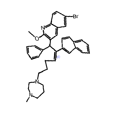 COc1nc2ccc(Br)cc2cc1C(/C(=C\CCCN1CCCN(C)CC1)c1ccc2ccccc2c1)c1ccccc1